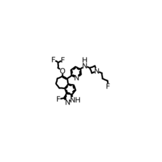 FCCCN1CC(Nc2ccc(C3=C(OCC(F)F)CCCc4c3ccc3[nH]nc(F)c43)nc2)C1